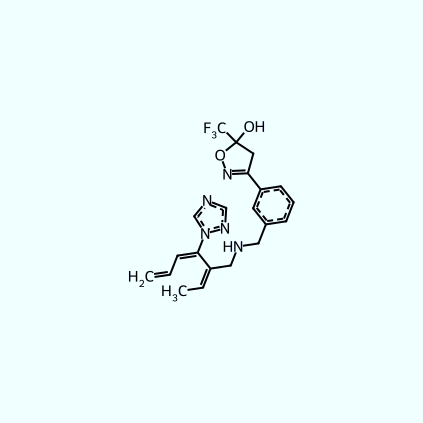 C=C/C=C(\C(=C/C)CNCc1cccc(C2=NOC(O)(C(F)(F)F)C2)c1)n1cncn1